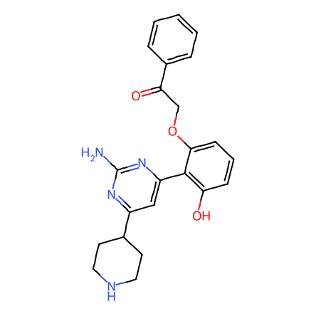 Nc1nc(-c2c(O)cccc2OCC(=O)c2ccccc2)cc(C2CCNCC2)n1